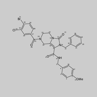 COc1ccc(CNC(=O)c2c3n(c(=O)n2Cc2ccccc2)CCN(C(=O)c2ccc(Br)c(Cl)c2)C3)cc1